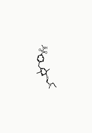 CCN(C)C=Nc1cc(C)c(Cc2ccc(S(=O)(=O)NC)cc2)cc1C